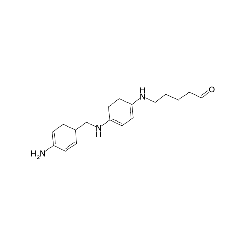 NC1=CCC(CNC2=CC=C(NCCCCC=O)CC2)C=C1